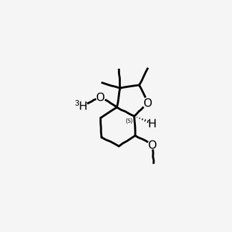 [3H]OC12CCCC(OC)[C@@H]1OC(C)C2(C)C